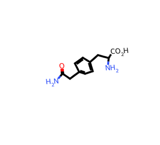 NC(=O)Cc1ccc(CC(N)C(=O)O)cc1